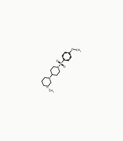 COc1ccc(S(=O)(=O)N2CCC(N3CCC[C@@H](C)C3)CC2)cc1